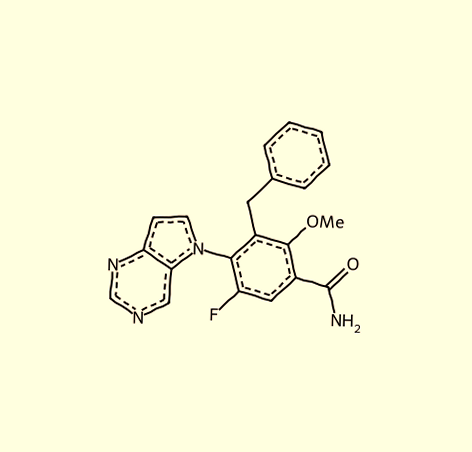 COc1c(C(N)=O)cc(F)c(-n2ccc3ncncc32)c1Cc1ccccc1